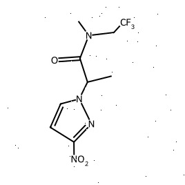 CC(C(=O)N(C)CC(F)(F)F)n1ccc([N+](=O)[O-])n1